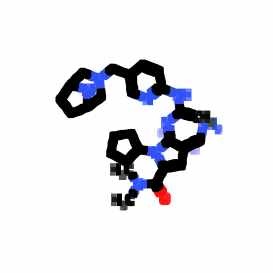 C=C(/N=C1\C(=C/N)C=C(C(=O)N(C)C)N1C1CCCC1)Nc1ccc(CN2CC3CCC(C2)N3)cn1